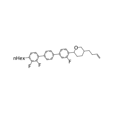 C=CCCC1CCC(c2ccc(-c3ccc(-c4ccc(CCCCCC)c(F)c4F)cc3)cc2F)OC1